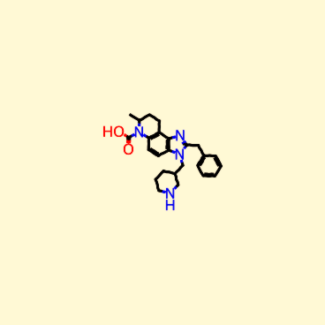 CC1CCc2c(ccc3c2nc(Cc2ccccc2)n3CC2CCCNC2)N1C(=O)O